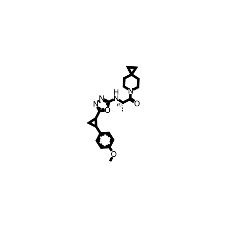 COc1ccc(C2CC2c2nnc(N[C@@H](C)C(=O)N3CCC4(CC3)CC4)o2)cc1